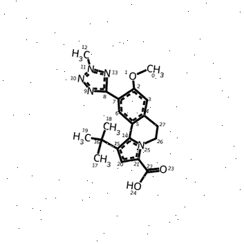 COc1cc2c(cc1-c1nnn(C)n1)-c1c(C(C)(C)C)cc(C(=O)O)n1CC2